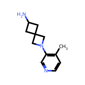 Cc1ccn[c]c1N1CC2(CC(N)C2)C1